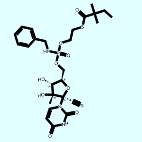 CCC(C)(C)C(=O)SCCOP(=O)(NCc1ccccc1)OC[C@H]1O[C@@](C#N)(n2ccc(=O)[nH]c2=O)[C@](C)(O)[C@@H]1O